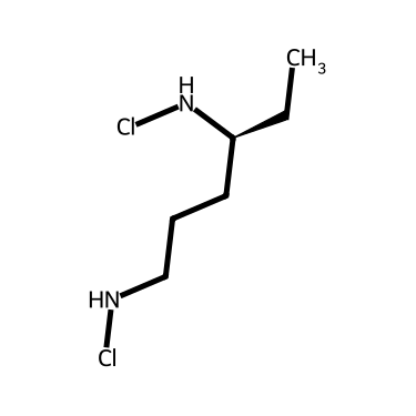 CC[C@@H](CCCNCl)NCl